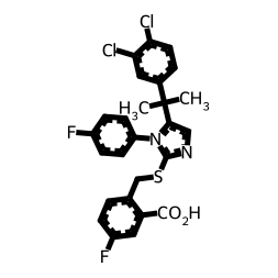 CC(C)(c1ccc(Cl)c(Cl)c1)c1cnc(SCc2ccc(F)cc2C(=O)O)n1-c1ccc(F)cc1